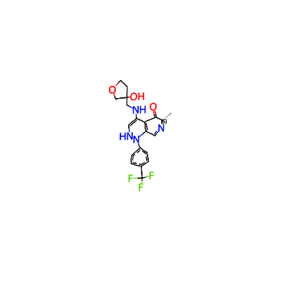 C[C@@H]1N=CC2=C(C1=O)C(NCC1(O)CCOC1)=CNN2c1ccc(C(F)(F)F)cc1